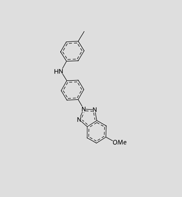 COc1ccc2nn(-c3ccc(Nc4ccc(C)cc4)cc3)nc2c1